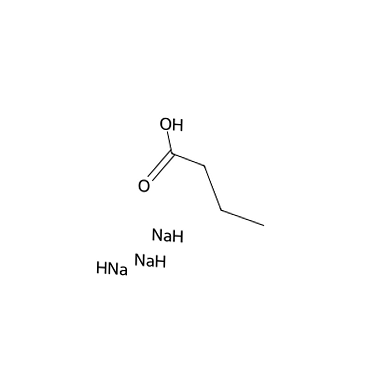 CCCC(=O)O.[NaH].[NaH].[NaH]